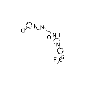 O=C(CCCN1CCN(c2cccc(Cl)c2)CC1)NC1CCN(c2ccc(SC(F)(F)F)cc2)CC1